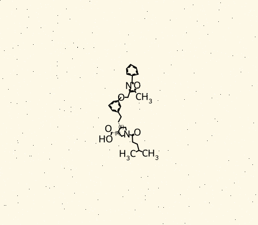 Cc1oc(-c2ccccc2)nc1COc1cccc(CC[C@@H]2CN(C(=O)CCC(C)C)C[C@@H]2C(=O)O)c1